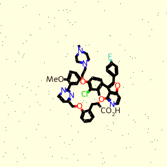 COc1ccccc1-c1nccc(COc2ccccc2CC(Oc2nccc3oc(-c4ccc(F)cc4)c(-c4ccc(OCCN5CCN(C)CC5)c(Cl)c4C)c23)C(=O)O)n1